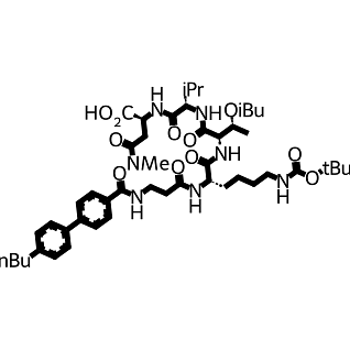 CCCCc1ccc(-c2ccc(C(=O)NCCC(=O)N[C@@H](CCCCNC(=O)OC(C)(C)C)C(=O)N[C@H](C(=O)N[C@H](C(=O)N[C@@H](CC(=O)NC)C(=O)O)C(C)C)[C@@H](C)OCC(C)C)cc2)cc1